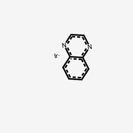 [Ir].c1ccc2nccnc2c1